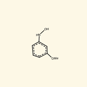 COc1cccc(NO)c1